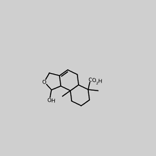 CC1(C(=O)O)CCCC2(C)C3C(=CCC12)COC3O